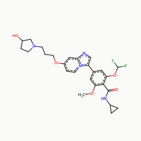 COc1cc(-c2cnc3cc(OCCCN4CCC(O)C4)ccn23)cc(OC(F)F)c1C(=O)NC1CC1